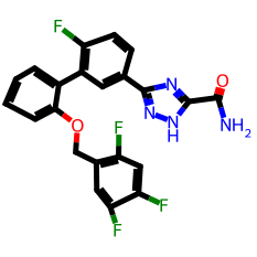 NC(=O)c1nc(-c2ccc(F)c(-c3ccccc3OCc3cc(F)c(F)cc3F)c2)n[nH]1